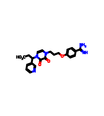 N=C(N)c1ccc(OCCCn2ccn(C(CC(=O)O)c3cccnc3)c(=O)c2=O)cc1